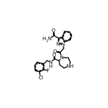 NC(=O)c1nn(CC(=O)N2CCNCCC2C(=O)NCc2cccc(Cl)c2F)c2ccccc12